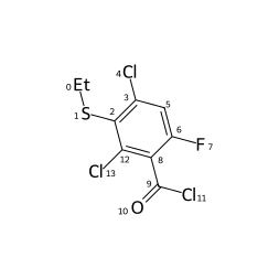 CCSc1c(Cl)cc(F)c(C(=O)Cl)c1Cl